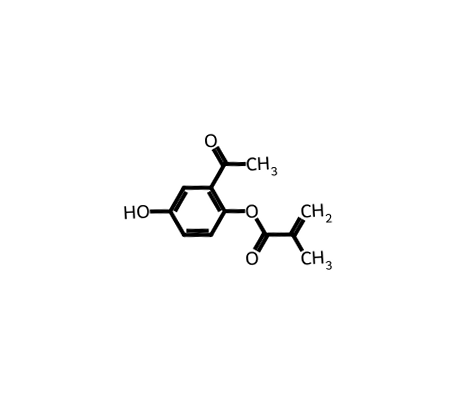 C=C(C)C(=O)Oc1ccc(O)cc1C(C)=O